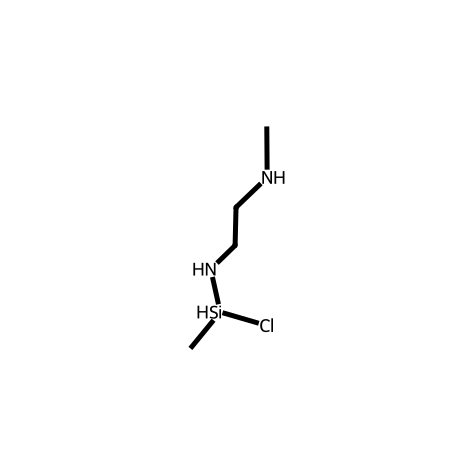 CNCCN[SiH](C)Cl